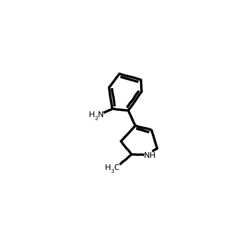 CC1CC(c2ccccc2N)=CCN1